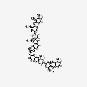 Nc1nc(N2CCC3(CC2)Cc2ccc(O[PH](=O)Oc4ccc5c(c4)[C@@H](N)C4(CCN(c6cnc(Sc7ccnc(N)c7Cl)c(N)n6)CC4)C5)cc2[C@H]3N)cnc1Sc1ccnc(N)c1Cl